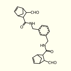 O=CC1C2C=CC(C2)C1C(=O)NCc1cccc(CNC(=O)C2C3C=CC(C3)C2C=O)c1